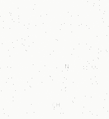 C=CCN1C(=O)CCC2C3C=CC=CC3CCC21